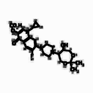 CC1(C)OCC(O)C(N2CCN(c3cc4c(cc3F)c(=O)c(OC(=O)O)cn4C3CC3)CC2)CO1